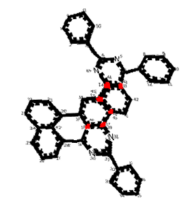 c1ccc(-c2nc(-c3ccccc3)nc(-c3cccc(-c4cccc5cccc(-c6nc(-c7ccccc7)nc(-c7ccccc7)n6)c45)c3)n2)cc1